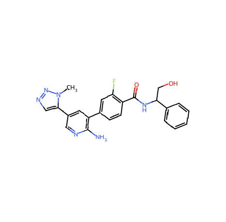 Cn1nncc1-c1cnc(N)c(-c2ccc(C(=O)NC(CO)c3ccccc3)c(F)c2)c1